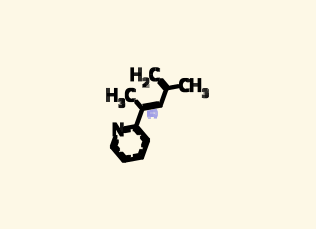 C=C(C)/C=C(\C)c1ccccn1